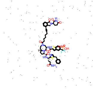 NC(=O)CC[C@H](NC(=O)[C@@H]1CC[C@@H]2CCN(C(=O)CCCCCC#Cc3cccc4c3CN(C3CCC(=O)NC3=O)C4=O)C[C@H](NC(=O)c3cc4cc(C(F)(F)P(=O)(O)O)ccc4s3)C(=O)N21)c1ncc(Cc2ccccc2)s1